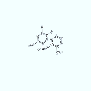 COc1cc(Br)c(Br)cc1C(=O)O.COc1ccccc1C(=O)O